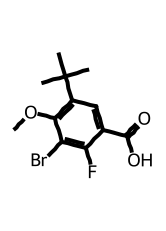 COc1c(C(C)(C)C)cc(C(=O)O)c(F)c1Br